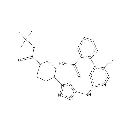 Cc1cnc(Nc2cnn(C3CCN(C(=O)OC(C)(C)C)CC3)c2)cc1-c1ccccc1C(=O)O